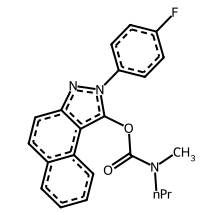 CCCN(C)C(=O)Oc1c2c(ccc3ccccc32)nn1-c1ccc(F)cc1